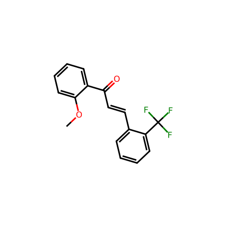 COc1ccccc1C(=O)/C=C/c1ccccc1C(F)(F)F